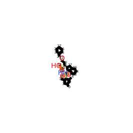 Cc1cc(C)c(S(=O)(=O)NC2c3ccccc3C[C@@H]2C(CCOCc2ccccc2)S(=O)O)c(C)c1